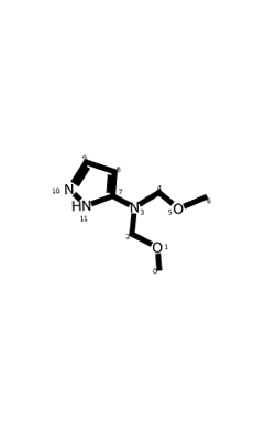 COCN(COC)c1ccn[nH]1